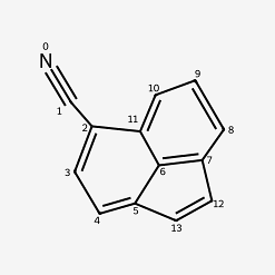 N#Cc1ccc2c3c(cccc13)C=C2